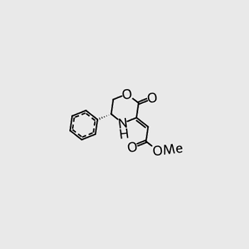 COC(=O)/C=C1\N[C@H](c2ccccc2)COC1=O